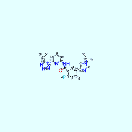 Cc1cc(F)c(C(=O)Nc2cccc(-n3nnnc3C(C)C)n2)cc1-c1cn(C(C)C)cn1